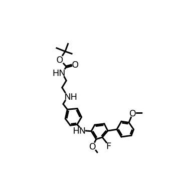 COc1cccc(-c2ccc(Nc3ccc(CNCCNC(=O)OC(C)(C)C)cc3)c(OC)c2F)c1